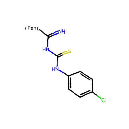 CCCCCC(=N)NC(=S)Nc1ccc(Cl)cc1